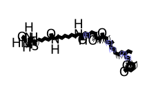 CCC(=C/[C@H](C)C/C=C/C(C)=C/[C@@H](C)C(=O)[C@@H](C)[C@H](O)[C@@H](C)C/C(C)=C/C(=O)NCCCCCCNC(=O)CCCC[C@H]1SC[C@@H]2NC(=O)N[C@@H]21)/C=C/[C@@H]1OC(=O)C=C[C@@H]1C